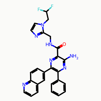 Nc1nc(-c2ccccc2)c(-c2ccc3ncccc3c2)nc1C(=O)NCc1nccn1CC(F)F